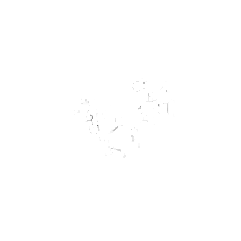 CC(C[Si](C)(Cl)Cl)c1cccc(O[Si](C)(C)C)c1